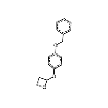 c1ccc(COc2ccc(OC3CCO3)cc2)cc1